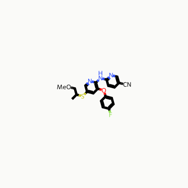 COCC(C)Sc1cnc(Nc2ccc(C#N)cn2)c(Oc2ccc(F)cc2)c1